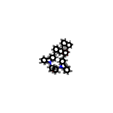 c1ccc(-c2cccc3cccc(-c4c5cccc(-c6ccc7c(c6)c6ccccc6n7-c6ccccc6)c5cc5c(-c6ccc7c(c6)c6ccccc6n7-c6ccccc6)cccc45)c23)cc1